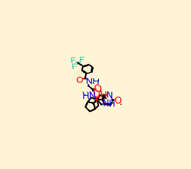 COc1ccc(C2(O)CC3CCC(C2)C3[C@]2(NC(=O)CNC(=O)c3cccc(C(F)(F)F)c3)CCNC2)cn1